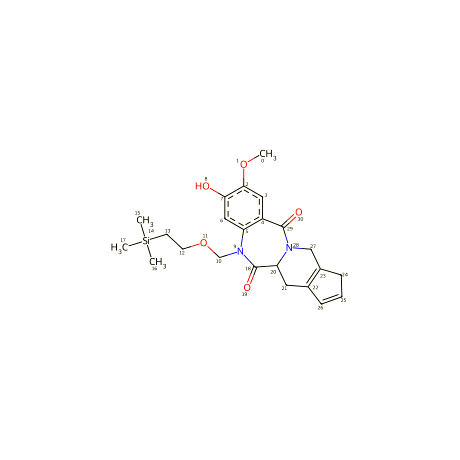 COc1cc2c(cc1O)N(COCC[Si](C)(C)C)C(=O)C1CC3=C(CC=C3)CN1C2=O